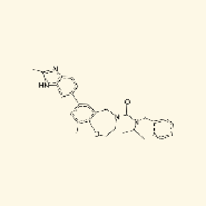 Cc1nc2ccc(-c3cc(C)c4c(c3)CN(C(=O)N(Cc3ccccc3)C(C)C)CCO4)cc2[nH]1